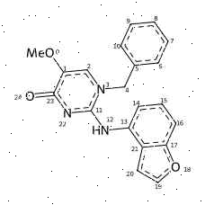 COc1cn(Cc2ccccc2)c(Nc2cccc3occc23)nc1=O